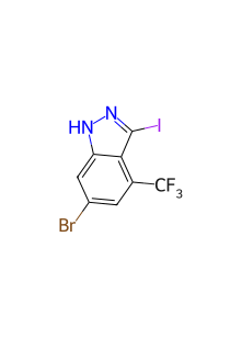 FC(F)(F)c1cc(Br)cc2[nH]nc(I)c12